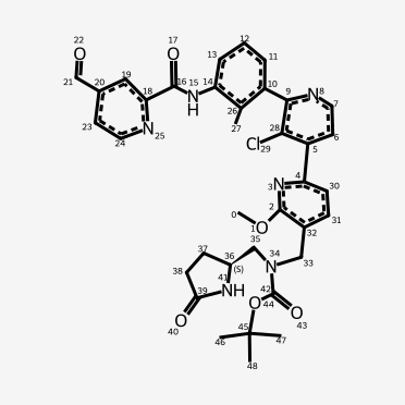 COc1nc(-c2ccnc(-c3cccc(NC(=O)c4cc(C=O)ccn4)c3C)c2Cl)ccc1CN(C[C@@H]1CCC(=O)N1)C(=O)OC(C)(C)C